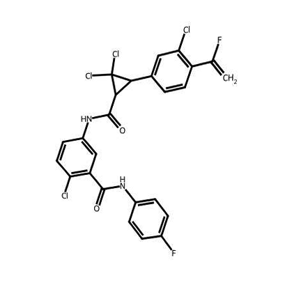 C=C(F)c1ccc(C2C(C(=O)Nc3ccc(Cl)c(C(=O)Nc4ccc(F)cc4)c3)C2(Cl)Cl)cc1Cl